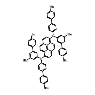 CC(C)(C)c1ccc(-c2ccc(N(c3cc(-c4ccc(C(C)(C)C)cc4)cc(C(C)(C)C)c3)c3ccc4ccc5c(N(c6ccc(-c7ccc(C(C)(C)C)cc7)cc6)c6cc(-c7ccc(C(C)(C)C)cc7)cc(C(C)(C)C)c6)ccc6ccc3c4c65)cc2)cc1